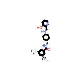 O=C(NC[C@H]1CC[C@H](NCc2ncccc2O)CC1)c1cc(C(F)(F)F)cc(C(F)(F)F)c1